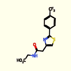 O=C(O)CNC(=O)Cc1csc(-c2ccc(C(F)(F)F)cc2)n1